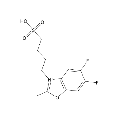 Cc1oc2cc(F)c(F)cc2[n+]1CCCCS(=O)(=O)O